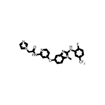 Cn1c(Nc2cc(C(F)(F)F)ccc2F)nc2cc(Oc3ccnc(NC(=O)Cn4ccnc4)c3)ccc21